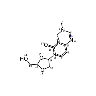 CN(C)/C=N\c1ccn(C2COC(CO)O2)c(=O)n1